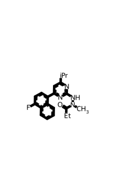 CCC(=O)N(C)Nc1nc(-c2ccc(F)c3ccccc23)cc(C(C)C)n1